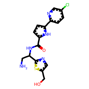 NCC(NC(=O)c1ccc(-c2ccc(Cl)cn2)[nH]1)c1ncc(CO)s1